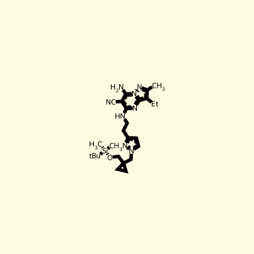 CCc1c(C)nn2c(N)c(C#N)c(NCCc3ccn(CC4(CO[Si](C)(C)C(C)(C)C)CC4)n3)nc12